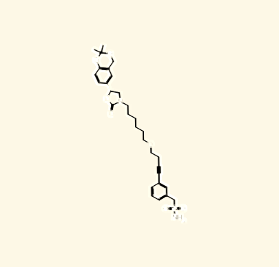 CC1(C)OCc2cc([C@@H]3CN(CCCCCCOCCC#Cc4cccc(CS(N)(=O)=O)c4)C(=O)O3)ccc2O1